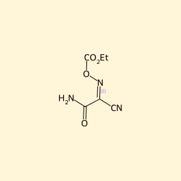 CCOC(=O)O/N=C(/C#N)C(N)=O